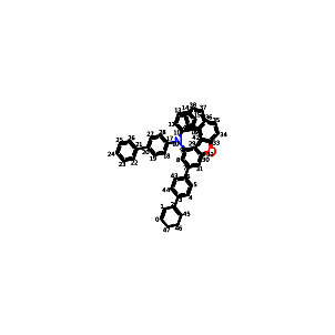 C1=CC(c2ccc(-c3cc(N(c4ccccc4)c4ccc(-c5ccccc5)cc4)c4c(c3)oc3ccc5ccccc5c34)cc2)=CCC1